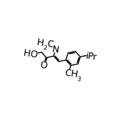 C=N/C(=C\c1ccc(C(C)C)cc1C)C(=O)CO